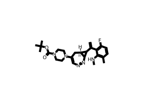 C=C(c1c(F)ccc(C)c1NC)C1C2N=NC=C(N3CCN(C(=O)OC(C)(C)C)CC3)C[C@H]21